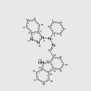 C(=NN(c1ccccc1)n1nnc2ccccc21)c1cccc2c1[nH]c1ccccc12